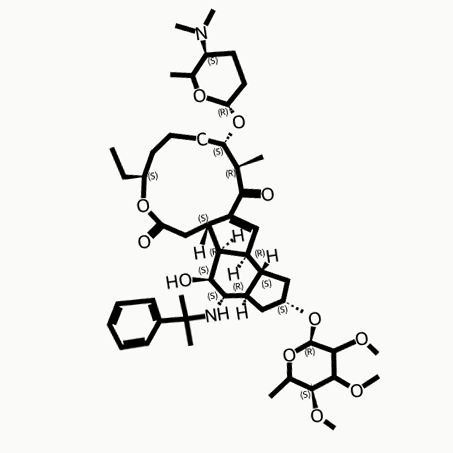 CC[C@H]1CCC[C@H](O[C@H]2CC[C@H](N(C)C)C(C)O2)[C@@H](C)C(=O)C2=C[C@H]3[C@@H]4C[C@H](O[C@@H]5OC(C)[C@H](OC)C(OC)C5OC)C[C@H]4[C@H](NC(C)(C)c4ccccc4)[C@@H](O)[C@H]3[C@@H]2CC(=O)O1